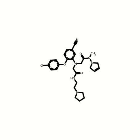 CN(C(=O)CN(CC(=O)NCCN1CCCC1)c1cc(C#N)ccc1Oc1ccc(Cl)cc1)N1CC=CC1